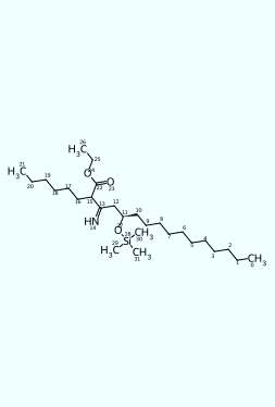 CCCCCCCCCCC[C@H](CC(=N)C(CCCCCC)C(=O)OCC)O[Si](C)(C)C